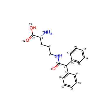 N[C@H](CCCNC(=O)C(c1ccccc1)c1ccccc1)C(=O)O